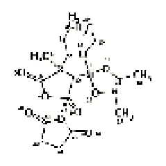 CCCC1(C)C(=O)OC(=O)C1[Si](OCC)(OCC)OCC.O=C1CCC(=O)O1